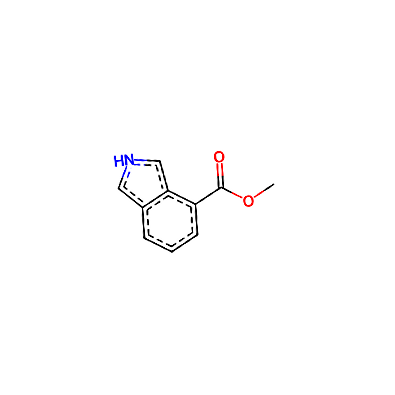 COC(=O)c1cccc2c[nH]cc12